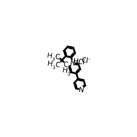 CC(C)(C)c1ccccc1-[n+]1ccc(-c2ccncc2)cc1.Cl.[Cl-]